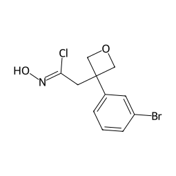 O/N=C(\Cl)CC1(c2cccc(Br)c2)COC1